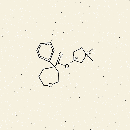 C[N+]1(C)CC[C@@H](OC(=O)C2(c3ccccc3)CCCCCC2)C1